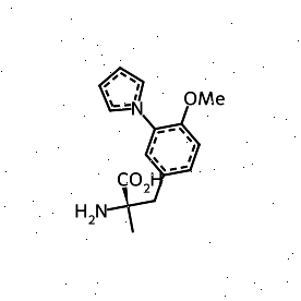 COc1ccc(C[C@](C)(N)C(=O)O)cc1-n1cccc1